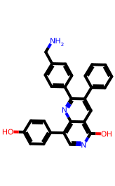 NCc1ccc(-c2nc3c(-c4ccc(O)cc4)cnc(O)c3cc2-c2ccccc2)cc1